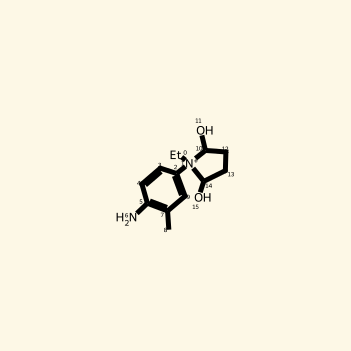 CC[N+]1(c2ccc(N)c(C)c2)C(O)CCC1O